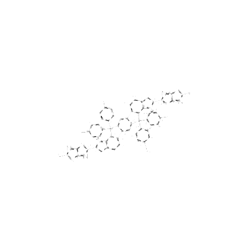 Cc1ccc(C2(c3ccc(C)cc3)c3cc4c(cc3-c3ccc5cc(-c6nc7sc(C)nc7s6)sc5c32)C(c2ccc(C)cc2)(c2ccc(C)cc2)c2c-4ccc3cc(-c4nc5sc(C)nc5s4)sc23)cc1